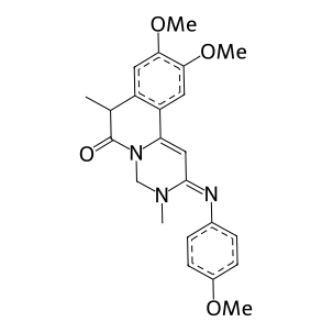 COc1ccc(N=C2C=C3c4cc(OC)c(OC)cc4C(C)C(=O)N3CN2C)cc1